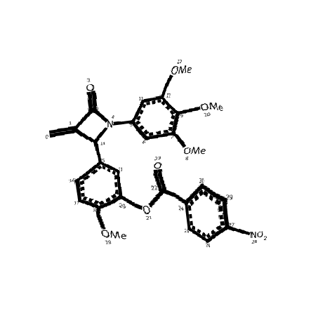 C=C1C(=O)N(c2cc(OC)c(OC)c(OC)c2)C1c1ccc(OC)c(OC(=O)c2ccc([N+](=O)[O-])cc2)c1